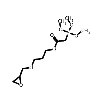 CO[Si](CC(=O)OCCCOCC1CO1)(OC)OC